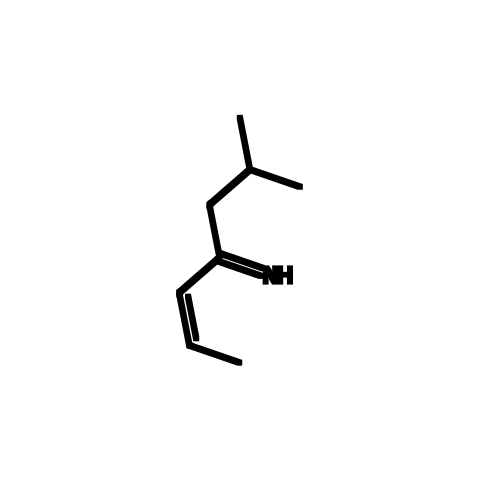 C/C=C\C(=N)CC(C)C